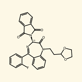 O=C1[C@H](N2C(=O)c3ccccc3C2=O)N=C(c2ccccc2F)c2ccccc2N1CCC1OCCO1